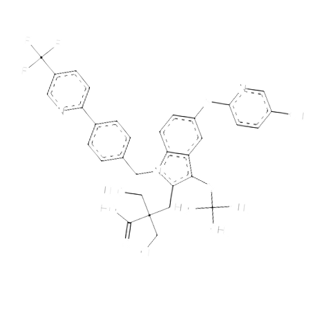 CCC(CC)(Cc1c(SC(C)(C)C)c2cc(Sc3ccc(C)cn3)ccc2n1Cc1ccc(-c2ccc(C(F)(F)F)cn2)cc1)C(=O)O